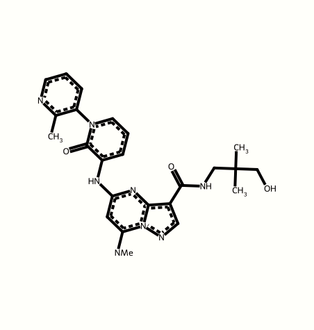 CNc1cc(Nc2cccn(-c3cccnc3C)c2=O)nc2c(C(=O)NCC(C)(C)CO)cnn12